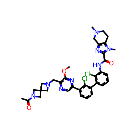 COc1nc(-c2cccc(-c3cccc(NC(=O)c4nc5c(n4C)CCN(C)C5)c3Cl)c2Cl)cnc1CN1CC2(C1)CN(C(C)=O)C2